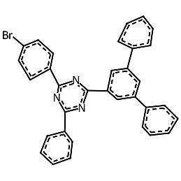 Brc1ccc(-c2nc(-c3ccccc3)nc(-c3cc(-c4ccccc4)cc(-c4ccccc4)c3)n2)cc1